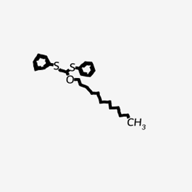 CCCCCCCCCCCCO[C](CSc1ccccc1)Sc1ccccc1